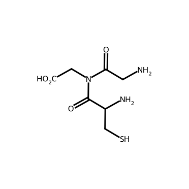 NCC(=O)N(CC(=O)O)C(=O)C(N)CS